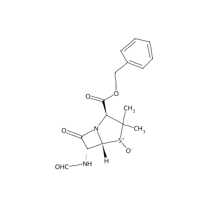 CC1(C)[C@H](C(=O)OCc2ccccc2)N2C(=O)[C@@H](NC=O)[C@H]2[S+]1[O-]